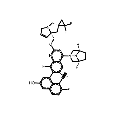 C#Cc1c(F)ccc2cc(O)cc(-c3c([N+](=O)[O-])cc4c(N5C[C@H]6CC[C@@H](C5)N6)nc(OC[C@]56C=CCN5C[C@@]5(CC5(F)F)C6)nc4c3F)c12